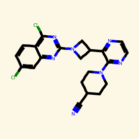 N#CC1CCN(c2nccnc2C2CN(c3nc(Cl)c4ccc(Cl)cc4n3)C2)CC1